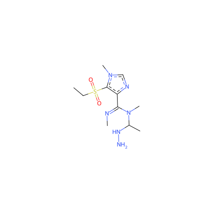 CCS(=O)(=O)c1c(C(=NC)N(C)C(C)NN)ncn1C